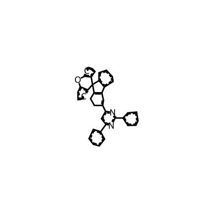 C1=C(c2cc(-c3ccccc3)nc(-c3ccccc3)n2)CCC2=C1c1ccccc1C21c2ccccc2Oc2ccccc21